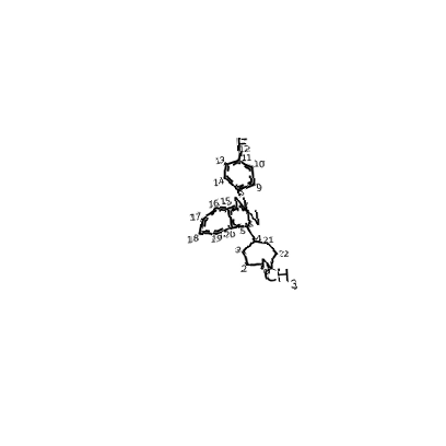 CN1CCC(c2nn(-c3ccc(F)cc3)c3ccccc23)CC1